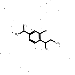 CCC(C)c1ccc(C(C)C)cc1Br